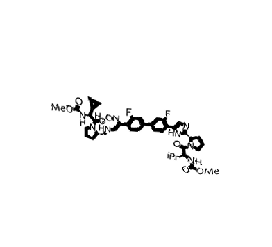 C=N/C(=C\NC[C@@H]1CCCN1C(=O)[C@@H](NC(=O)OC)C1CC1)c1ccc(-c2ccc(-c3cnc([C@@H]4CCCN4C(=O)[C@@H](NC(=O)OC)C(C)C)[nH]3)c(F)c2)cc1F